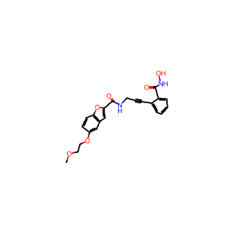 COCCOc1ccc2oc(C(=O)NCC#Cc3ccccc3C(=O)NO)cc2c1